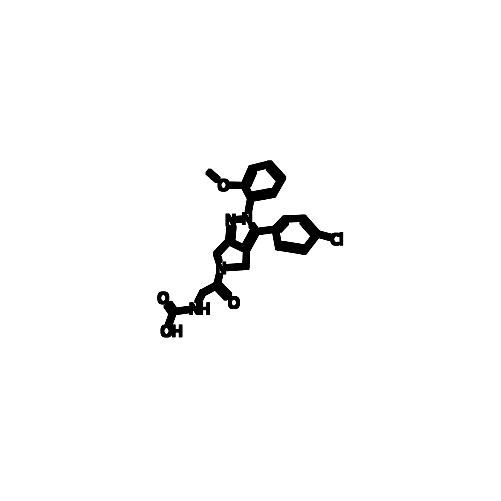 COc1ccccc1-n1nc2c(c1-c1ccc(Cl)cc1)CN(C(=O)CNC(=O)O)C2